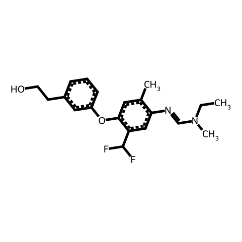 CCN(C)C=Nc1cc(C(F)F)c(Oc2cccc(CCO)c2)cc1C